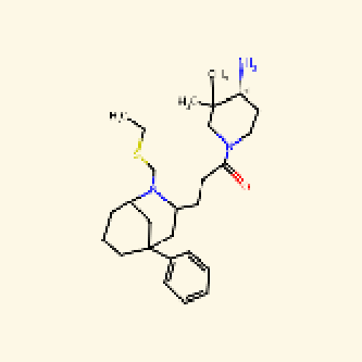 CCSCN1C2CCCC(c3ccccc3)(C2)CC1CCC(=O)N1CC[C@H](N)C(C)(C)C1